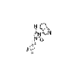 N#C[C@@H]1CN(C2CC3(C2)CC(F)(F)C3)C(=O)N1c1cncc2ccccc12